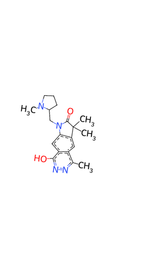 Cc1nnc(O)c2cc3c(cc12)C(C)(C)C(=O)N3CC1CCCN1C